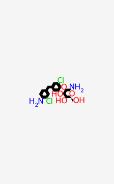 Nc1ccc(Cc2ccc(O[C@@H]3[C@@H](O)[C@H](O)[C@@H](CO)O[C@H]3N)c(Cl)c2)cc1Cl